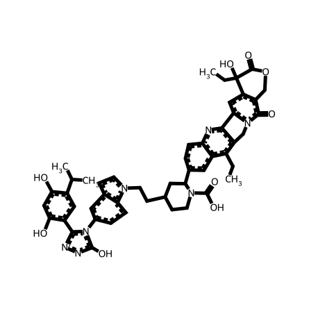 CCc1c2c(nc3ccc(C4CC(CCn5ccc6cc(-n7c(O)nnc7-c7cc(C(C)C)c(O)cc7O)ccc65)CCN4C(=O)O)cc13)-c1cc3c(c(=O)n1C2)COC(=O)C3(O)CC